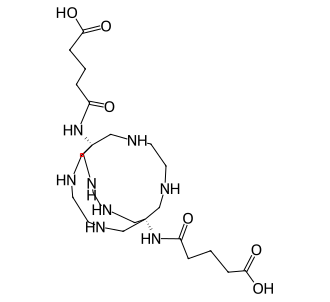 O=C(O)CCCC(=O)N[C@]12CNCCNC[C@](NC(=O)CCCC(=O)O)(CNCCNC1)CNCCNC2